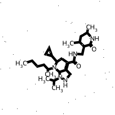 CCCCC(C)N1C(C2CC2)CC(C(=O)NCC2C(=O)NC(C)CC2C)=C2CNN(C(C)C)C21